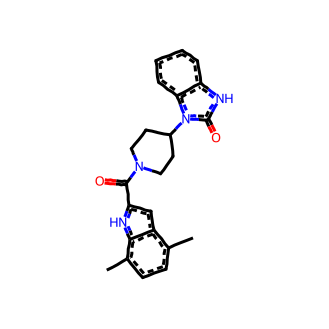 Cc1ccc(C)c2[nH]c(C(=O)N3CCC(n4c(=O)[nH]c5ccccc54)CC3)cc12